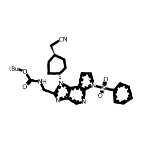 CC(C)(C)OC(=O)NCc1nc2cnc3c(ccn3S(=O)(=O)c3ccccc3)c2n1[C@H]1CC[C@H](CC#N)CC1